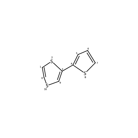 C1=CSC(c2cccs2)=CS1